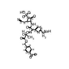 CC(C)(O/N=C(\C(=O)NC1C(=O)N(S(=O)(=O)O)C1CC#N)c1csc(N)n1)C(=O)OCc1ccc([N+](=O)[O-])cc1.[NaH]